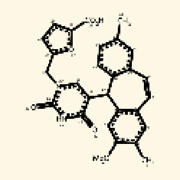 COc1cc2c(cc1C)C=Cc1cc(C)ccc1C2c1cn(Cc2ccc(C(=O)O)o2)c(=O)[nH]c1=O